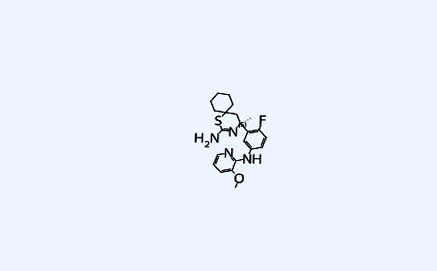 COc1cccnc1Nc1ccc(F)c([C@]2(C)CC3(CCCCC3)SC(N)=N2)c1